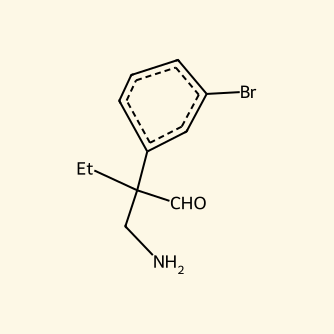 CCC(C=O)(CN)c1cccc(Br)c1